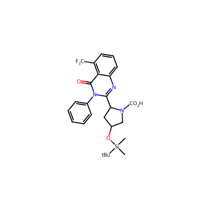 CC(C)(C)[Si](C)(C)OC1CC(c2nc3cccc(C(F)(F)F)c3c(=O)n2-c2ccccc2)N(C(=O)O)C1